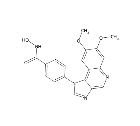 COc1cc2ncc3ncn(-c4ccc(C(=O)NO)cc4)c3c2cc1OC